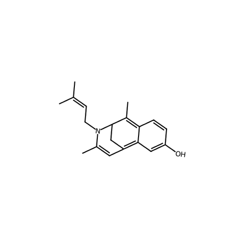 CC(C)=CCN1C(C)=CC2=c3cc(O)ccc3=C(C)C1C2